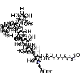 CCCCCCCC/C=C\CCCCCCCCCCCCCC(=O)N[C@@H](CO[C@@H]1OC(CO)[C@@H](O[C@@H]2OC(CO)[C@H](O[C@@H]3OC(CO)[C@H](O)[C@H](O[C@@H]4OC(CO[C@@H]5OC(CO)[C@@H](O)[C@H](O)C5NC(C)=O)[C@H](O)[C@H](O[C@@H]5OC(CO)[C@H](O)[C@H](O)C5O)C4NC(C)=O)C3O)[C@H](O)C2O)[C@H](O)C1O)[C@H](O)/C=C/CCCCCCCCCCCCC